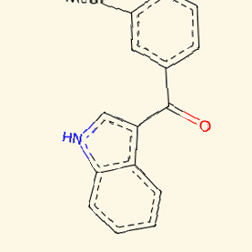 COc1cccc(C(=O)c2c[nH]c3ccccc23)c1